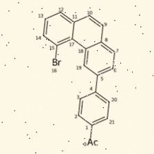 CC(=O)c1ccc(-c2ccc3ccc4cccc(Br)c4c3c2)cc1